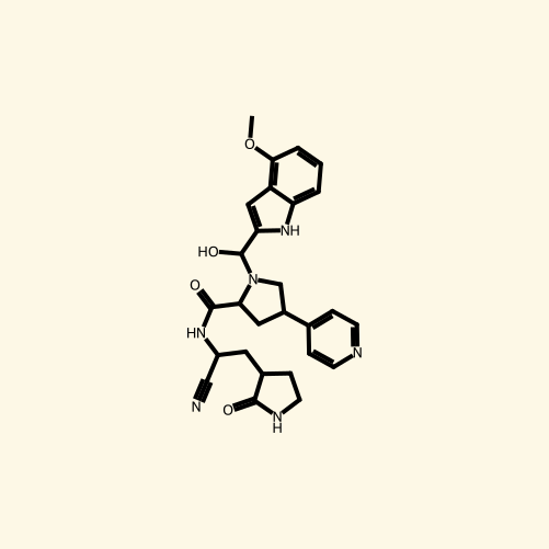 COc1cccc2[nH]c(C(O)N3CC(c4ccncc4)CC3C(=O)NC(C#N)CC3CCNC3=O)cc12